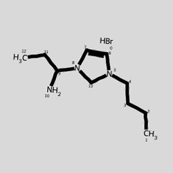 Br.CCCCN1C=CN(C(N)CC)C1